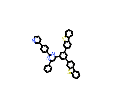 c1ccc(-c2cc(-c3cc(-c4ccc5c(c4)sc4ccccc45)cc(-c4ccc5c(c4)sc4ccccc45)c3)nc(-c3ccc(-c4cccnc4)cc3)n2)cc1